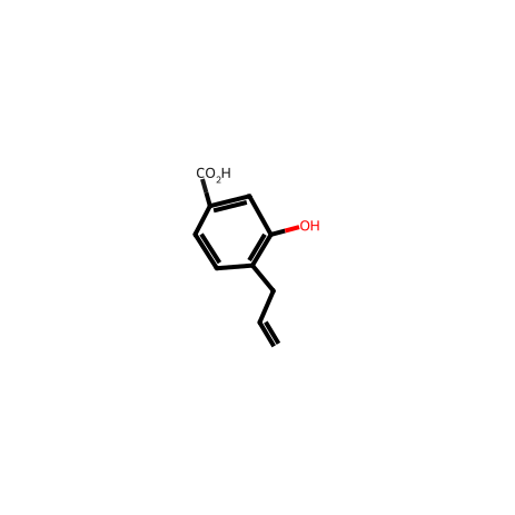 C=CCc1ccc(C(=O)O)cc1O